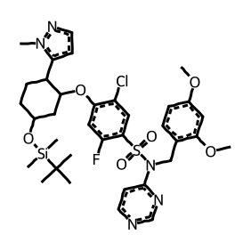 COc1ccc(CN(c2ccncn2)S(=O)(=O)c2cc(Cl)c(OC3CC(O[Si](C)(C)C(C)(C)C)CCC3c3ccnn3C)cc2F)c(OC)c1